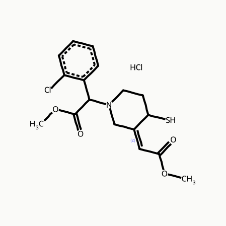 COC(=O)/C=C1/CN(C(C(=O)OC)c2ccccc2Cl)CCC1S.Cl